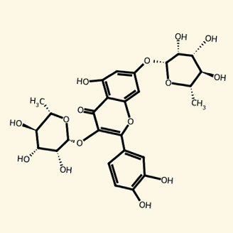 C[C@@H]1O[C@H](Oc2cc(O)c3c(=O)c(O[C@H]4O[C@@H](C)[C@H](O)[C@@H](O)[C@H]4O)c(-c4ccc(O)c(O)c4)oc3c2)[C@H](O)[C@H](O)[C@H]1O